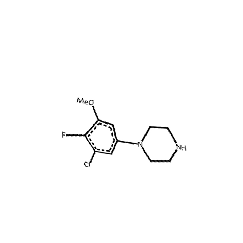 COc1cc(N2CCNCC2)cc(Cl)c1F